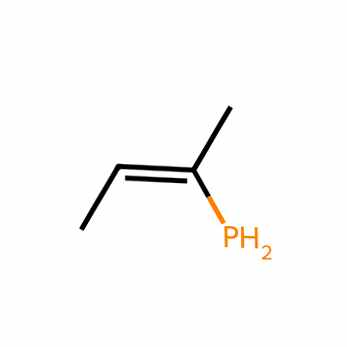 CC=C(C)P